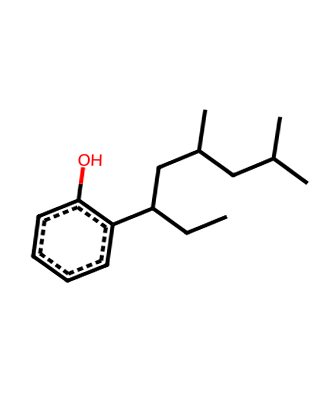 CCC(CC(C)CC(C)C)c1ccccc1O